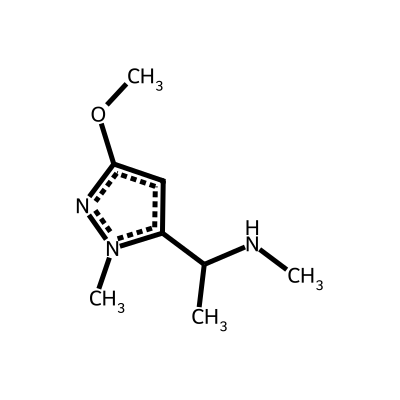 CNC(C)c1cc(OC)nn1C